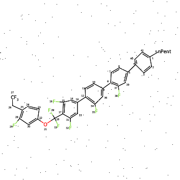 CCCCCc1ccc(-c2ccc(-c3ccc(-c4cc(F)c(C(F)(F)Oc5ccc(CC(F)(F)F)c(F)c5)c(F)c4)c(F)c3)c(F)c2)cc1